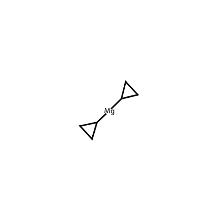 C1C[CH]1[Mg][CH]1CC1